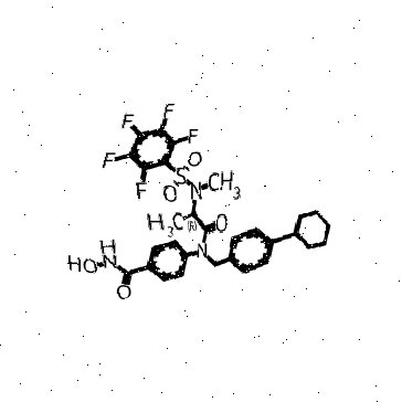 C[C@H](C(=O)N(Cc1ccc(C2CCCCC2)cc1)c1ccc(C(=O)NO)cc1)N(C)S(=O)(=O)c1c(F)c(F)c(F)c(F)c1F